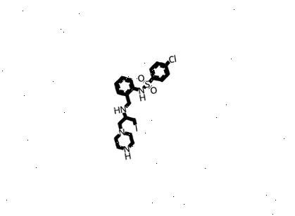 O=S(=O)(Nc1ccccc1CNC(CI)CN1CCNCC1)c1ccc(Cl)cc1